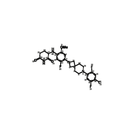 COc1cc(N2CC3(CCN(c4cc(F)c(Cl)cc4F)CC3)C2)c(F)cc1NC1CCC(=O)NC1=O